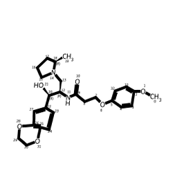 COc1ccc(OCCC(=O)N[C@H](CN2CCC[C@H]2C)[C@H](O)c2ccc3c(c2)OCCO3)cc1